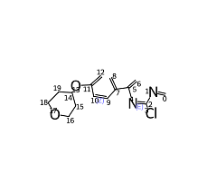 C=N/C(Cl)=N\C(=C)C(=C)/C=C\C(=C)OC1CCOCC1